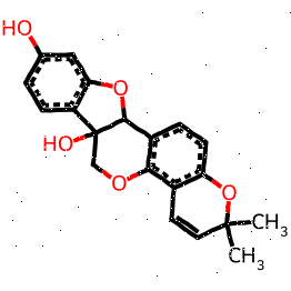 CC1(C)C=Cc2c(ccc3c2OCC2(O)c4ccc(O)cc4OC32)O1